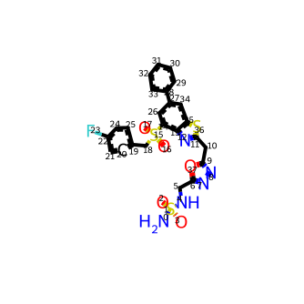 NS(=O)(=O)NCc1nnc(Cc2nc3c(S(=O)(=O)Cc4ccc(F)cc4)cc(-c4ccccc4)cc3s2)o1